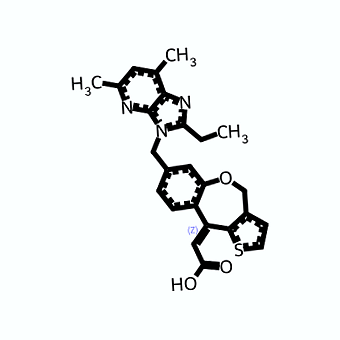 CCc1nc2c(C)cc(C)nc2n1Cc1ccc2c(c1)OCc1ccsc1/C2=C\C(=O)O